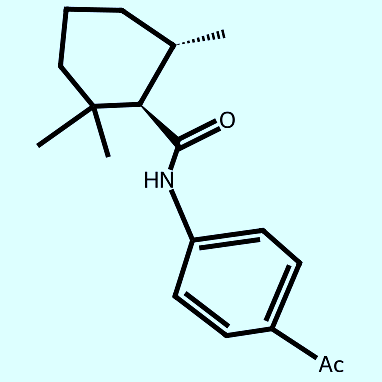 CC(=O)c1ccc(NC(=O)[C@@H]2[C@@H](C)CCCC2(C)C)cc1